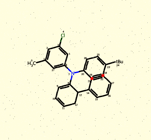 Cc1cc(Cl)cc(N(C2=CC=CCC2c2ccccc2)c2ccc(C(C)(C)C)cc2)c1